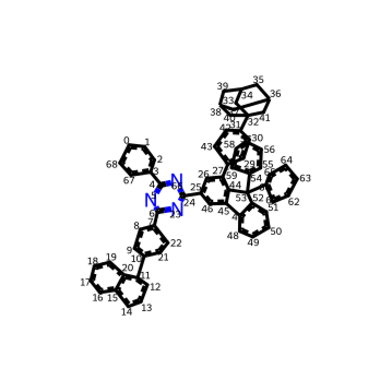 c1ccc(-c2nc(-c3ccc(-c4cccc5ccccc45)cc3)nc(-c3cc(-c4ccc(C56CC7CC(CC(C7)C5)C6)cc4)c4c(c3)-c3ccccc3C4(c3ccccc3)c3ccccc3)n2)cc1